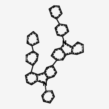 c1ccc(-c2ccc(-c3cccc4c3c3cc(-c5ccc6c(c5)c5ccccc5n6-c5ccc(-c6ccccc6)cc5)ccc3n4-c3ccccc3)cc2)cc1